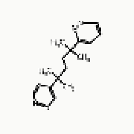 CC(C)(CCC(C)(C)c1cccnn1)c1ccnnc1